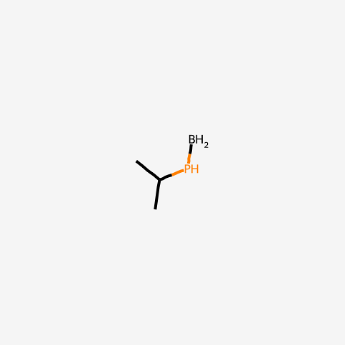 BPC(C)C